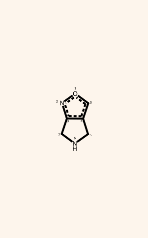 c1onc2c1CNC2